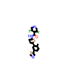 Cc1ccc(-c2cncs2)cc1-c1ccc(NC(=O)c2c(F)cncc2F)s1